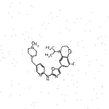 CC(C)N1CCOc2c(F)cc(-c3cnc(Nc4ccc(CN5CCN(C)CC5)cn4)o3)cc21